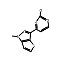 Cn1nc(-c2ccnc(Cl)n2)c2sccc21